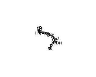 COc1cccc(F)c1-c1ncc2[nH]nc(-c3ccc(N4CCN(CC(=O)NCCOCC(=O)N[C@H](C(=O)N5C[C@H](O)C[C@H]5C(=O)NCc5ccc(-c6scnc6C)cc5)C(C)(C)C)CC4)cc3)c2n1